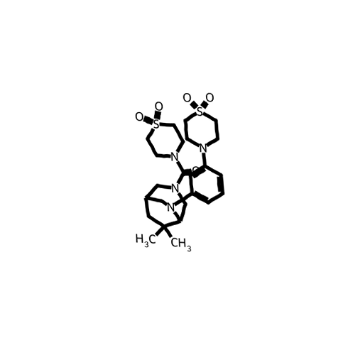 CC1(C)CC2CN(C(=O)N3CCS(=O)(=O)CC3)CC1N(c1cccc(N3CCS(=O)(=O)CC3)c1)C2